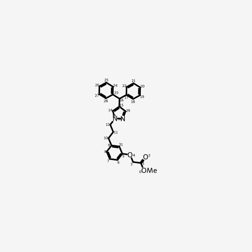 COC(=O)COc1cccc(CCCn2cc(C(c3ccccc3)c3ccccc3)cn2)c1